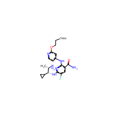 COCCOc1cc(Nc2nc(N[C@H](C3CC3)[C@H](C)N)c(F)cc2C(N)=O)ccn1